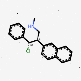 CNC[C@@H](c1ccc2ccccc2c1)[C@H](Cl)c1ccccc1